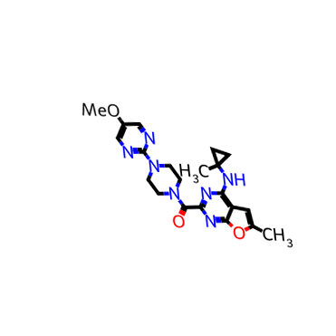 COc1cnc(N2CCN(C(=O)c3nc(NC4(C)CC4)c4cc(C)oc4n3)CC2)nc1